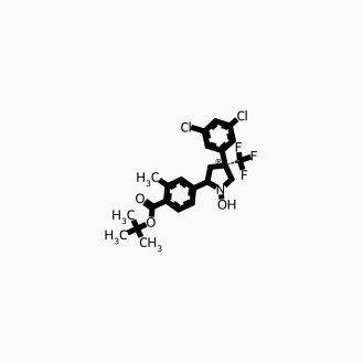 Cc1cc(C2C[C@](c3cc(Cl)cc(Cl)c3)(C(F)(F)F)CN2O)ccc1C(=O)OC(C)(C)C